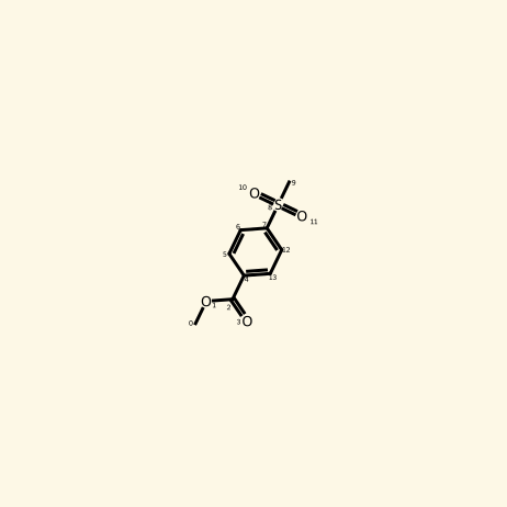 COC(=O)c1ccc(S(C)(=O)=O)cc1